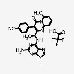 Cc1cccc2nc(C(C)Nc3nc(N)nc4[nH]cnc34)c(-c3ccc(C#N)cc3)c(=O)n12.O=C(O)C(F)(F)F